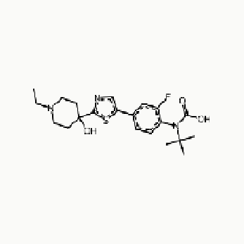 CCN1CCC(O)(c2ncc(-c3ccc(N(C(=O)O)C(C)(C)C)c(F)c3)s2)CC1